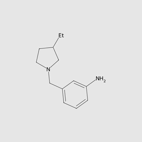 CCC1CCN(Cc2cccc(N)c2)C1